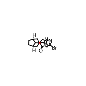 O=C1OCCN1C1[C@@H]2CC[C@H]1CN(c1nnc(Br)s1)C2